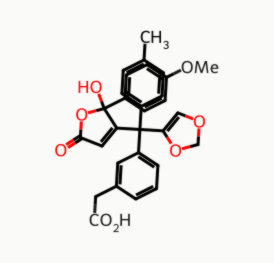 COc1ccc(C2(O)OC(=O)C=C2C(C2=COCO2)(c2ccc(C)cc2)c2cccc(CC(=O)O)c2)cc1